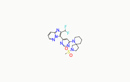 CS(=O)(=O)N1CCC2(CCCCN2c2cc(-c3c(C(F)F)nc4cccnn34)ncn2)C1